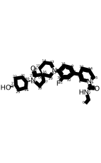 CCNC(=O)N1C=C(c2ccc(N3CCC[C@]4(CCN([C@H]5CC[C@@H](O)CC5)C4=O)C3)c(F)c2)C=CC1